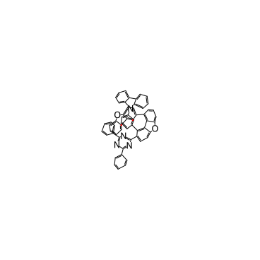 c1ccc(-c2nc(-c3ccccc3)nc(-c3ccc4oc5cccc(-c6ccc7oc8ccccc8c7c6)c5c4c3-c3cccc(-n4c5ccccc5c5ccccc54)c3)n2)cc1